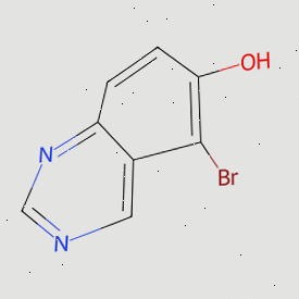 Oc1ccc2ncncc2c1Br